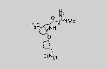 CCN(CC)Cc1cccc(Oc2ccc(C(F)(F)F)c3cc(C(=O)N=C(N)NC)[nH]c23)c1